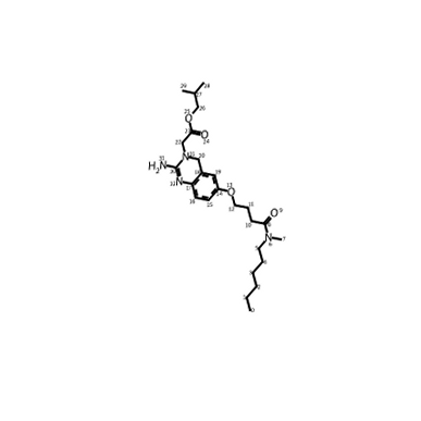 CCCCCCN(C)C(=O)CCCOc1ccc2c(c1)CN(CC(=O)OCC(C)C)C(N)=N2